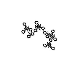 c1ccc(-c2cc(-c3cccc(-c4ccc5c(sc6cc(-c7cccc(-c8nc(-c9ccccc9)nc(-c9ccc(-c%10ccc%11c(sc%12ccccc%12%11)c%10-c%10cccc(-c%11nc(-c%12ccccc%12)cc(-c%12ccccc%12)n%11)c%10)cc9)n8)c7)ccc65)c4-c4nc(-c5ccccc5)nc(-c5ccccc5)n4)c3)nc(-c3ccccc3)n2)cc1